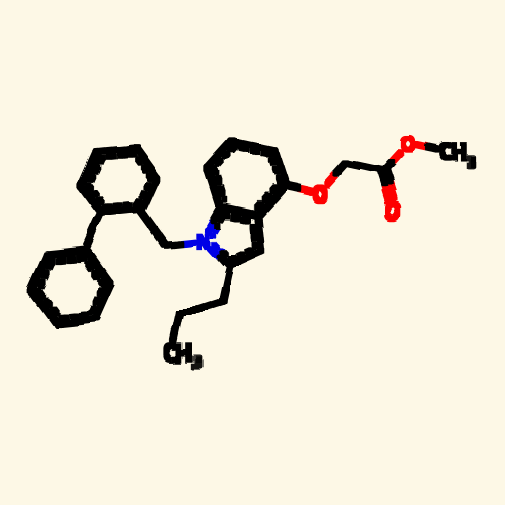 CCCc1cc2c(OCC(=O)OC)cccc2n1Cc1ccccc1-c1ccccc1